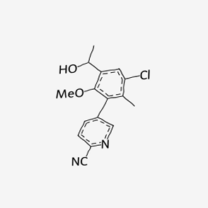 COc1c(C(C)O)cc(Cl)c(C)c1-c1ccc(C#N)nc1